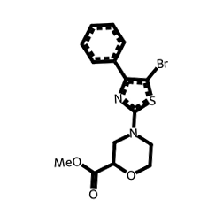 COC(=O)C1CN(c2nc(-c3ccccc3)c(Br)s2)CCO1